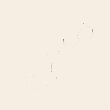 Cn1nc(-c2c[nH]c(C(=O)Nc3cccc(F)c3)c2)c2cc(C(F)(F)F)ccc21